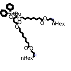 CCCCCC/C=C\COC(=O)CCCCCCCOC(=O)CC(O[Si](c1ccccc1)(c1ccccc1)C(C)(C)C)C(=O)OCCCCCCCC(=O)OC/C=C\CCCCCC